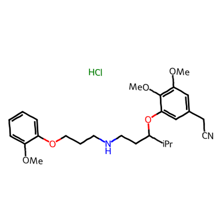 COc1ccccc1OCCCNCCC(Oc1cc(CC#N)cc(OC)c1OC)C(C)C.Cl